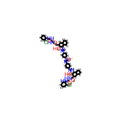 O=C(NC(=O)c1cc2ccccc2c(N=Nc2ccc(N=[N+]([O-])c3ccc(N=Nc4c(O)c(CONCONc5ccccc5Cl)cc5ccccc45)cc3)cc2)c1O)Nc1ccccc1Cl